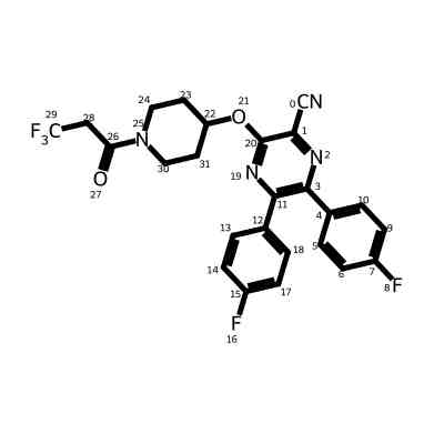 N#Cc1nc(-c2ccc(F)cc2)c(-c2ccc(F)cc2)nc1OC1CCN(C(=O)CC(F)(F)F)CC1